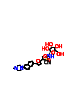 C/C(=C(/C#N)S(=O)(=O)NC[C@H]1OC(CO)[C@H](O)[C@@H](O)[C@@H]1O)c1ccc(-c2ccc3cc(N4CCN(C)CC4)ccc3c2)o1